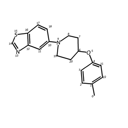 Cc1ccc(OC2CCN(c3[c]c4ncsc4cc3)CC2)cc1